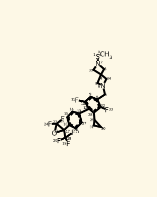 CSN1CC2(CN(Cc3cc(F)c(-c4ccc(C5(C(F)(F)F)OC5(F)F)cc4)c(C4CC4)c3F)C2)C1